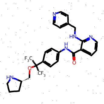 O=C(Nc1ccc(C(OC[C@@H]2CCCN2)(C(F)(F)F)C(F)(F)F)cc1)c1cccnc1NCc1ccncc1